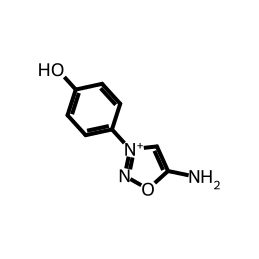 Nc1c[n+](-c2ccc(O)cc2)no1